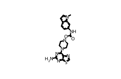 Cn1ccc2ccc(NC(=O)ON3CCN(c4nc(N)nc5scnc45)CC3)cc21